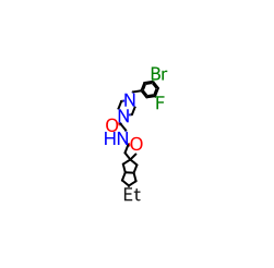 CCC1CC2CC(C)(CC(=O)NCC(=O)N3CCN(Cc4cc(F)cc(Br)c4)CC3)CC2C1